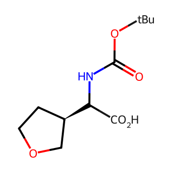 CC(C)(C)OC(=O)NC(C(=O)O)[C@@H]1CCOC1